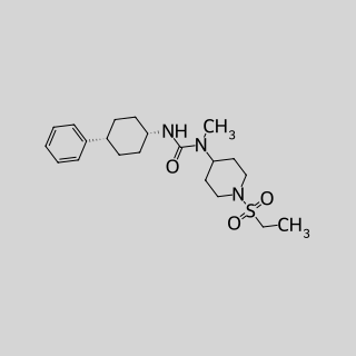 CCS(=O)(=O)N1CCC(N(C)C(=O)N[C@H]2CC[C@@H](c3ccccc3)CC2)CC1